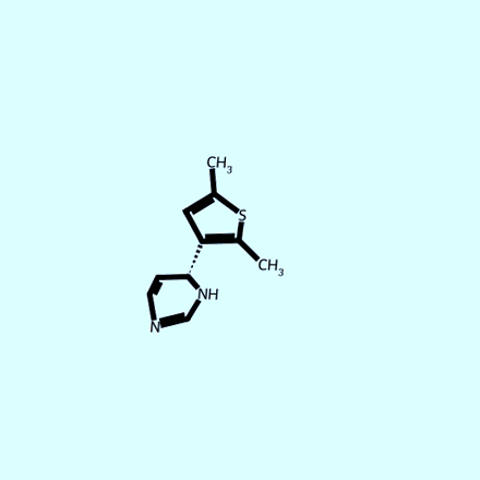 Cc1cc([C@H]2C=CN=CN2)c(C)s1